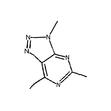 Cc1nc(C)c2nnn(C)c2n1